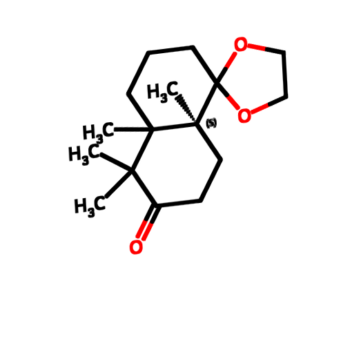 CC1(C)C(=O)CC[C@]2(C)C3(CCCC12C)OCCO3